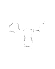 CC(=O)CC(=O)N1CC(c2ccccc2)c2ccccc21